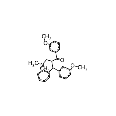 COc1cccc(C(=O)C(CN(C)C)C(c2ccccc2)c2cccc(OC)c2)c1